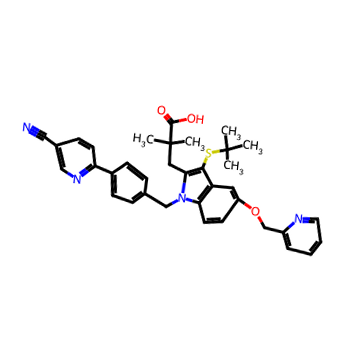 CC(C)(C)Sc1c(CC(C)(C)C(=O)O)n(Cc2ccc(-c3ccc(C#N)cn3)cc2)c2ccc(OCc3ccccn3)cc12